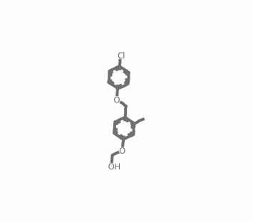 Cc1cc(OCO)ccc1COc1ccc(Cl)cc1